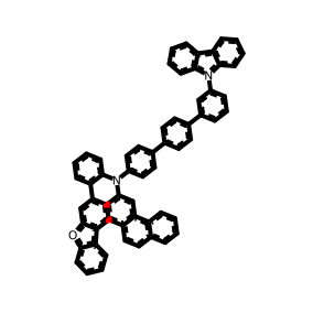 c1cc(-c2ccc(-c3ccc(N(c4ccc5ccc6ccccc6c5c4)c4ccccc4-c4ccc5c(c4)oc4ccccc45)cc3)cc2)cc(-n2c3ccccc3c3ccccc32)c1